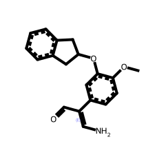 COc1ccc(/C(C=O)=C\N)cc1OC1Cc2ccccc2C1